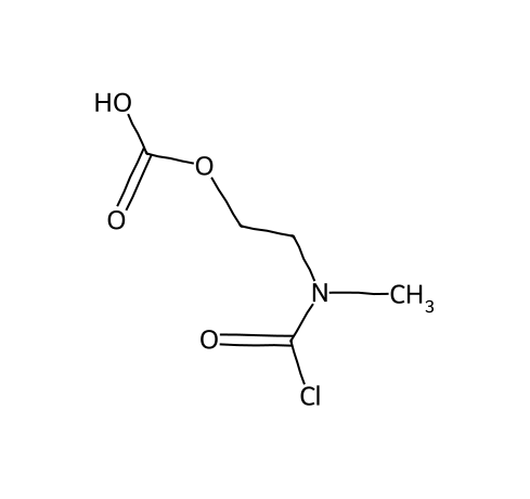 CN(CCOC(=O)O)C(=O)Cl